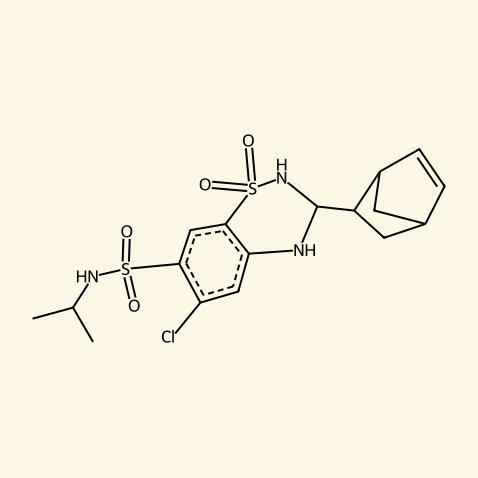 CC(C)NS(=O)(=O)c1cc2c(cc1Cl)NC(C1CC3C=CC1C3)NS2(=O)=O